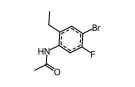 CCc1cc(Br)c(F)cc1NC(C)=O